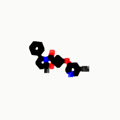 N#Cc1cncc(OC2CC3(C2)O[C@@H]2CC[C@@H](c4ccccc4)N2C3=O)c1